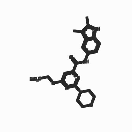 CCOC(=O)COc1cc(C(=O)Nc2ccc3[nH]c(C)c(C)c3c2)nc(N2CCOCC2)n1